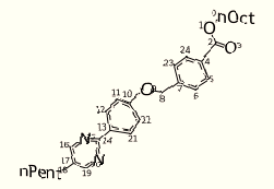 CCCCCCCCOC(=O)c1ccc(COc2ccc(-c3ncc(CCCCC)cn3)cc2)cc1